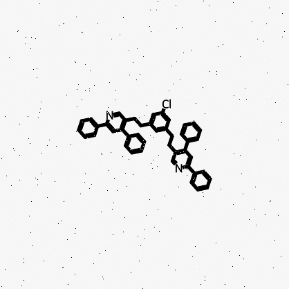 Clc1cc(CCc2cnc(-c3ccccc3)cc2-c2ccccc2)cc(CCc2cnc(-c3ccccc3)cc2-c2ccccc2)c1